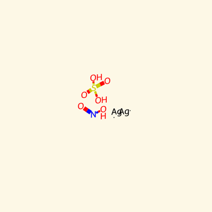 O=NO.O=S(=O)(O)O.[Ag].[Ag]